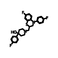 OC1(c2ccc(F)cc2)CCN(CC2CN(c3ccc(F)cc3)c3ccc(F)cc3S2)CC1